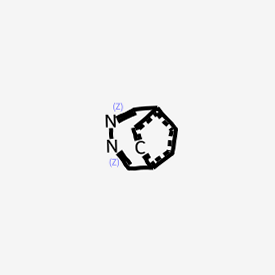 C1=N\N=C/c2ccc/1cc2